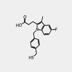 Cc1c(CCC(=O)O)n(Cc2ccc(CS)cc2)c2ccc(F)cc12